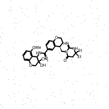 CCC1(CC)CC(=O)N(C[C@@H]2CCOc3ccc(C(=O)NC4c5c(OC)cccc5OCC4(C)O)cc32)C(=N)N1